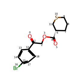 O=C(COC(=O)[C@H]1CCCSC1)c1ccc(Br)cc1